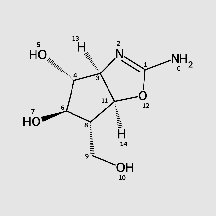 NC1=N[C@@H]2[C@@H](O)[C@H](O)[C@@H](CO)[C@@H]2O1